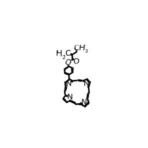 C=C(CC)C(=O)Oc1ccc(C2=CC3=CC4=NC(=CC5=NC(=CC6=NC(=CC2=N3)C=C6)C=C5)C=C4)cc1